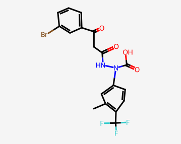 Cc1cc(N(NC(=O)CC(=O)c2cccc(Br)c2)C(=O)O)ccc1C(F)(F)F